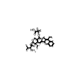 CCc1c2c(nc3ccccc13)-c1cc3c(c(=O)n1C2)COC(=O)[C@@]3(CC)OC(=O)[C@@H](N)C(C)C.O=C(O)C(F)(F)F